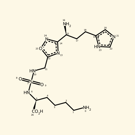 NCCCC[C@H](NS(=O)(=O)NCc1nc([C@@H](N)CCc2cnc[nH]2)no1)C(=O)O